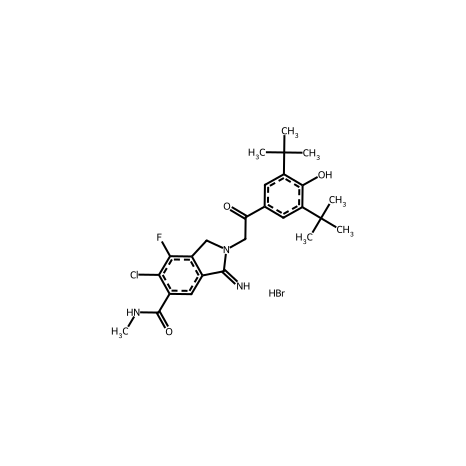 Br.CNC(=O)c1cc2c(c(F)c1Cl)CN(CC(=O)c1cc(C(C)(C)C)c(O)c(C(C)(C)C)c1)C2=N